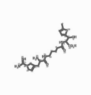 Cc1ccc(C(O)C(NC(=O)CCCCNC(=O)C(N)CC2=CCN(C(=N)N)C2)C(=O)O)s1